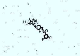 CC(C)(C)NC(=O)CN1CCC2(CC1)C[C@@H]2NC(=O)c1cc(F)cc(Cl)c1